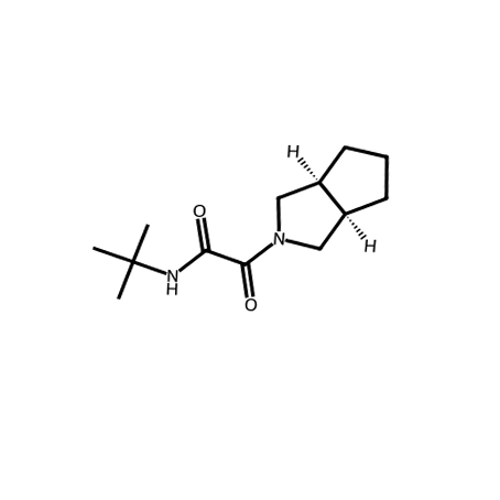 CC(C)(C)NC(=O)C(=O)N1C[C@H]2CCC[C@H]2C1